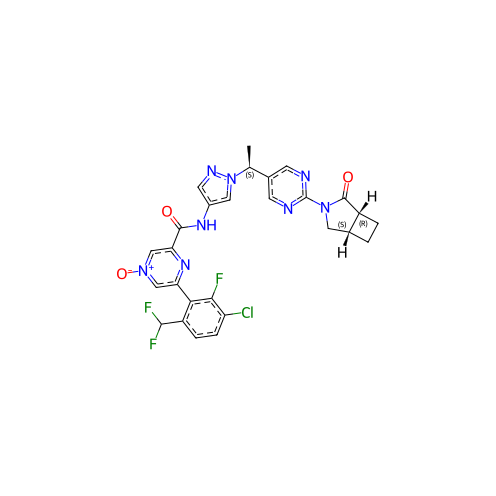 C[C@@H](c1cnc(N2C[C@H]3CC[C@H]3C2=O)nc1)n1cc(NC(=O)c2c[n+]([O-])cc(-c3c(C(F)F)ccc(Cl)c3F)n2)cn1